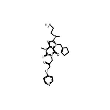 CN(CCN)c1nc2c(c(=O)n(CC(=O)COc3ccncc3)c(=O)n2C)n1CC1=CCCC1